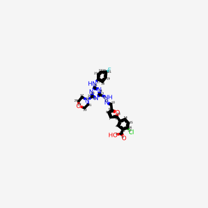 O=C(O)c1cc(-c2ccc(/C=N/Nc3nc(Nc4ccc(F)cc4)nc(N4CCOCC4)n3)o2)ccc1Cl